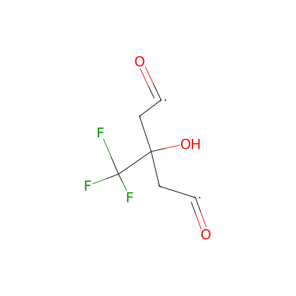 O=[C]CC(O)(C[C]=O)C(F)(F)F